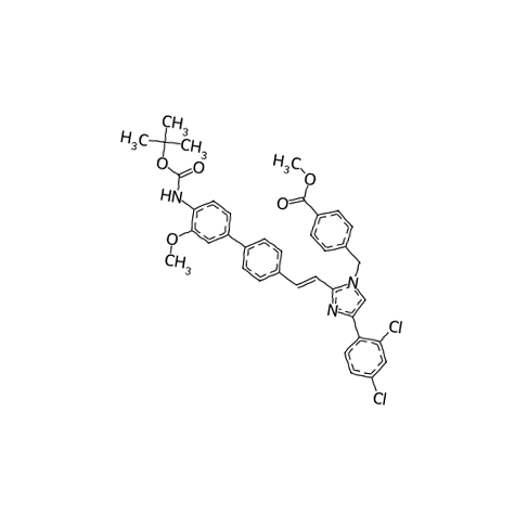 COC(=O)c1ccc(Cn2cc(-c3ccc(Cl)cc3Cl)nc2C=Cc2ccc(-c3ccc(NC(=O)OC(C)(C)C)c(OC)c3)cc2)cc1